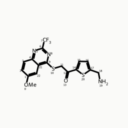 COc1ccc2nc(C(F)(F)F)nc(SCC(=O)c3ccc(CN)s3)c2c1